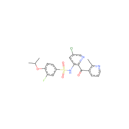 Cc1ncccc1C(=O)c1ncc(Cl)cc1NS(=O)(=O)c1ccc(OC(C)C)c(F)c1